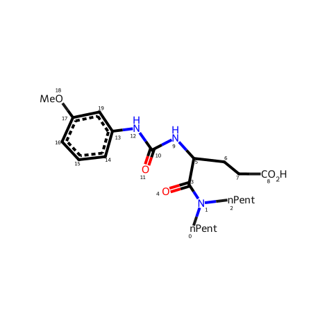 CCCCCN(CCCCC)C(=O)C(CCC(=O)O)NC(=O)Nc1cccc(OC)c1